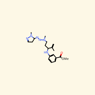 C=C(C)C(CCN(C)N=NC1CC=NN1C)Nc1cccc(C(=O)OC)c1